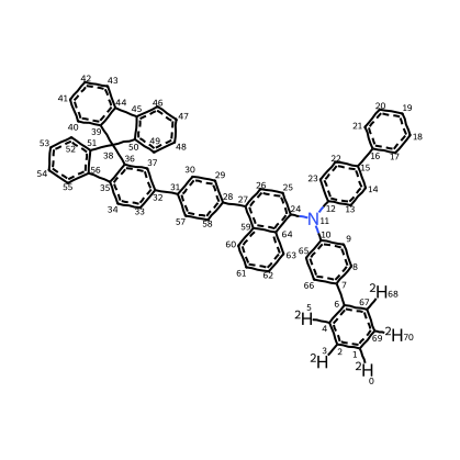 [2H]c1c([2H])c([2H])c(-c2ccc(N(c3ccc(-c4ccccc4)cc3)c3ccc(-c4ccc(-c5ccc6c(c5)C5(c7ccccc7-c7ccccc75)c5ccccc5-6)cc4)c4ccccc34)cc2)c([2H])c1[2H]